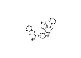 CN(C(=O)c1[nH]nc2c1CN(C(O)C1Cc3ccccc3N1)CC2)C1(c2ccccn2)CC1